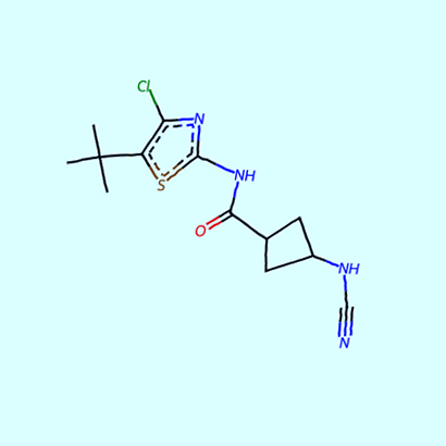 CC(C)(C)c1sc(NC(=O)C2CC(NC#N)C2)nc1Cl